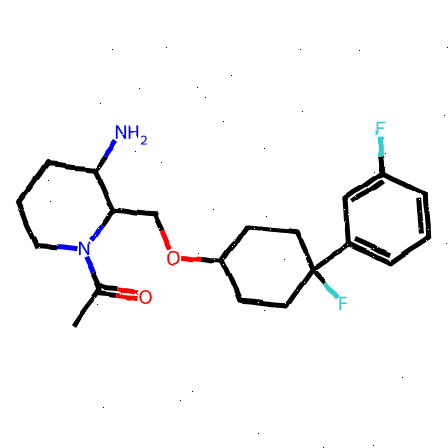 CC(=O)N1CCCC(N)C1COC1CCC(F)(c2cccc(F)c2)CC1